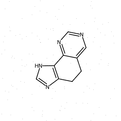 c1ncc2c(n1)-c1[nH]cnc1CC2